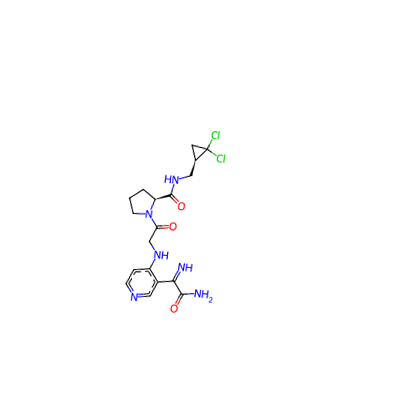 N=C(C(N)=O)c1cnccc1NCC(=O)N1CCC[C@H]1C(=O)NC[C@H]1CC1(Cl)Cl